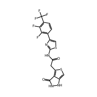 O=C(Cc1scc2[nH][nH]c(=O)c12)Nc1nc(-c2ccc(C(F)(F)F)c(F)c2F)cs1